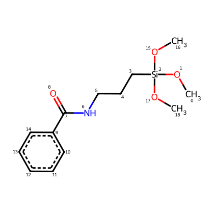 CO[Si](CCCNC(=O)c1ccccc1)(OC)OC